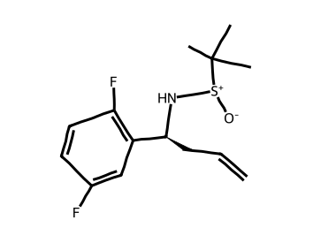 C=CC[C@H](N[S+]([O-])C(C)(C)C)c1cc(F)ccc1F